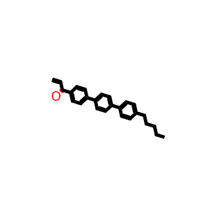 C=CC(=O)c1ccc(-c2ccc(-c3ccc(CCCCC)cc3)cc2)cc1